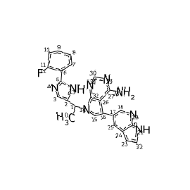 CC(c1cnc(-c2ccccc2F)[nH]1)n1cc(-c2cnc3[nH]ccc3c2)c2c(N)ncnc21